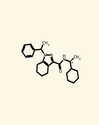 CC(c1ccccc1)n1nc(C(=O)N[C@@H](C)C2CCCCC2)c2c1CCCC2